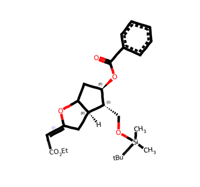 CCOC(=O)/C=C1\C[C@H]2C(C[C@@H](OC(=O)c3ccccc3)[C@@H]2CO[Si](C)(C)C(C)(C)C)O1